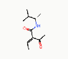 C/C=C(\C(C)=O)C(=O)N[C@@H](C)C(C)C